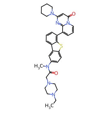 CCN1CCN(CC(=O)N(C)c2ccc3sc4c(-c5cccn6c(=O)cc(N7CCCCC7)nc56)cccc4c3c2)CC1